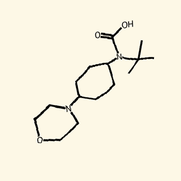 CC(C)(C)N(C(=O)O)C1CCC(N2CCOCC2)CC1